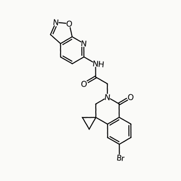 O=C(CN1CC2(CC2)c2cc(Br)ccc2C1=O)Nc1ccc2cnoc2n1